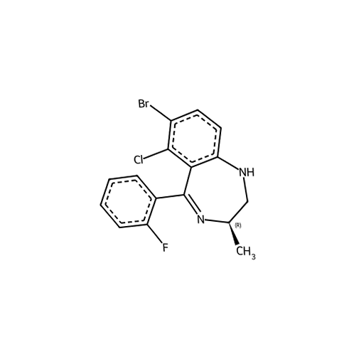 C[C@@H]1CNc2ccc(Br)c(Cl)c2C(c2ccccc2F)=N1